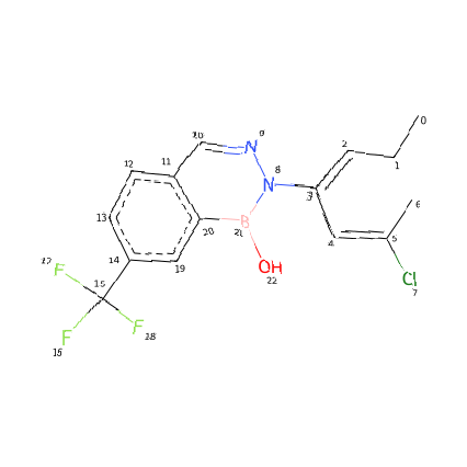 CC/C=C(\C=C(/C)Cl)N1N=Cc2ccc(C(F)(F)F)cc2B1O